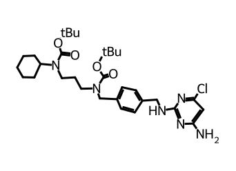 CC(C)(C)OC(=O)N(CCCN(C(=O)OC(C)(C)C)C1CCCCC1)Cc1ccc(CNc2nc(N)cc(Cl)n2)cc1